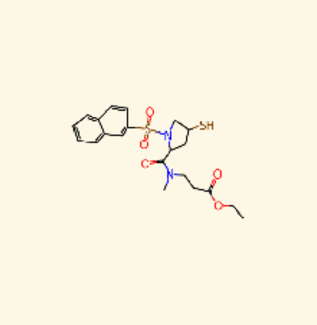 CCOC(=O)CCN(C)C(=O)C1CC(S)CN1S(=O)(=O)c1ccc2ccccc2c1